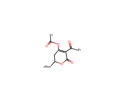 CCCCCCCCCC1CC(OC(=O)CC)=C(C(=O)CCC)C(=O)O1